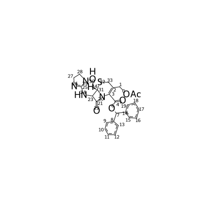 CC(=O)OCC1=C(C(=O)OC(c2ccccc2)c2ccccc2)N2C(=O)C(NC3=NCCN3O)[C@@H]2SC1